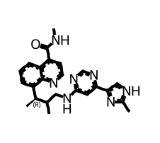 CNC(=O)c1ccnc2c([C@H](C)C(C)CNc3cc(-c4c[nH]c(C)n4)ncn3)cccc12